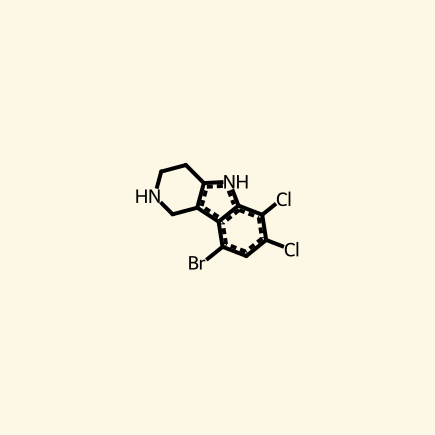 Clc1cc(Br)c2c3c([nH]c2c1Cl)CCNC3